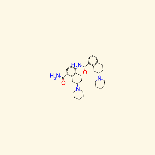 NC(=O)c1cccc2c1CC(N1CCCCC1)CC2.NC(=O)c1cccc2c1CC(N1CCCCC1)CC2